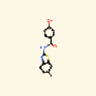 Cc1ccc2nc(NC(=O)c3ccc(O)cc3)sc2c1